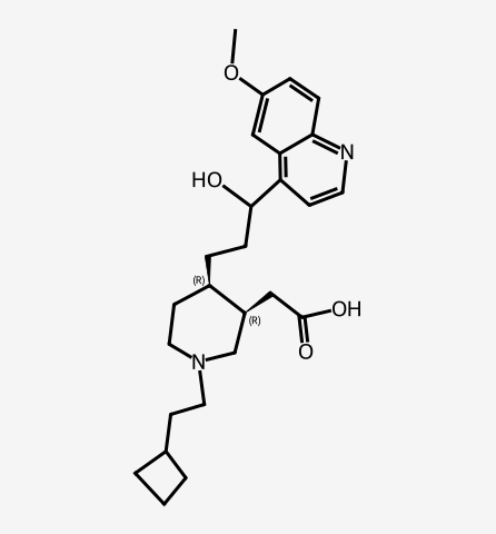 COc1ccc2nccc(C(O)CC[C@@H]3CCN(CCC4CCC4)C[C@@H]3CC(=O)O)c2c1